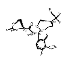 O=C1N[C@H](C(=O)N[C@H](c2ccc(F)c(Cl)c2F)[C@H]2CC[C@H](C(F)(F)F)CO2)CO1